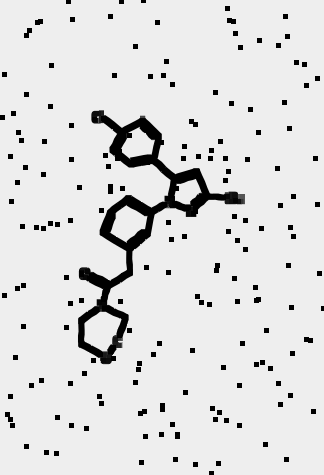 CC(C)(C)c1cc(-c2c[c]c(Cl)cc2)n(-c2cccc(CC(=O)N3CCOCC3)c2)n1